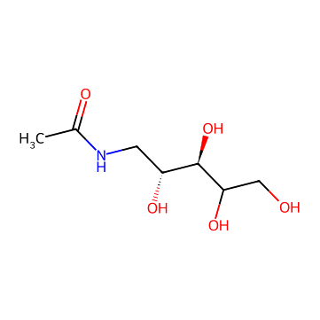 CC(=O)NC[C@@H](O)[C@@H](O)C(O)CO